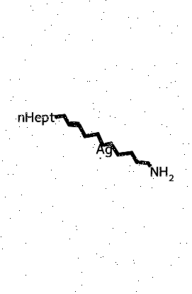 CCCCCCCCC=CCCCCCCCCN.[Ag]